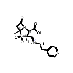 C[C@]1(/C=N/NCc2ccncc2)[C@H](C(=O)O)N2C(=O)C[C@H]2S1(=O)=O